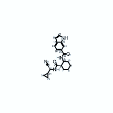 N#C[C@@H](NC(=O)[C@@H]1CCCCC1NC(=O)c1ccc2cc[nH]c2c1)C1CC1